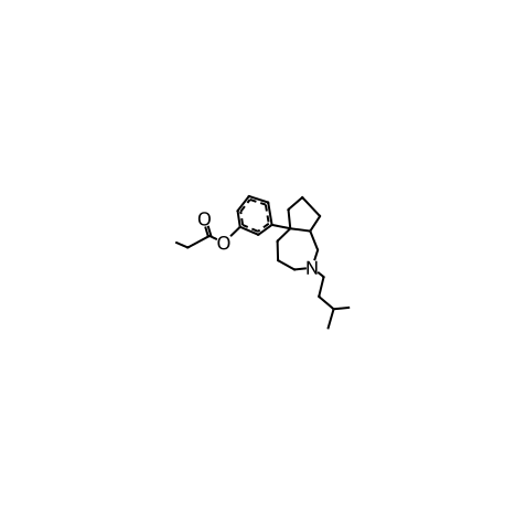 CCC(=O)Oc1cccc(C23CCCC2CN(CCC(C)C)CCC3)c1